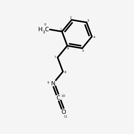 Cc1ccccc1CCN=C=O